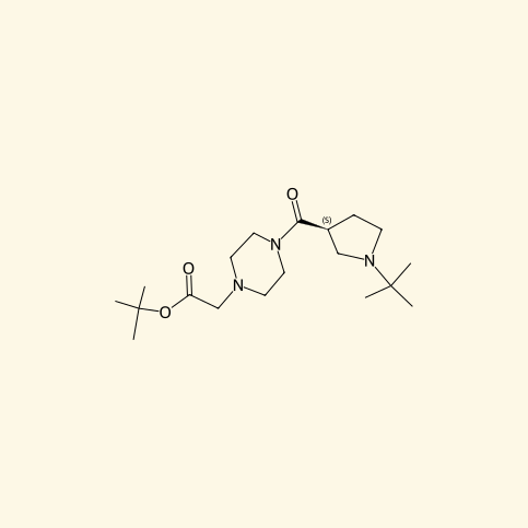 CC(C)(C)OC(=O)CN1CCN(C(=O)[C@H]2CCN(C(C)(C)C)C2)CC1